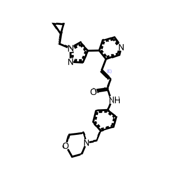 O=C(/C=C/c1cnccc1-c1cnn(CC2CC2)c1)Nc1ccc(CN2CCOCC2)cc1